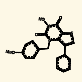 COc1ccc(Cn2c(=O)n(O)c(=O)c3scc(-c4ccccc4)c32)cc1